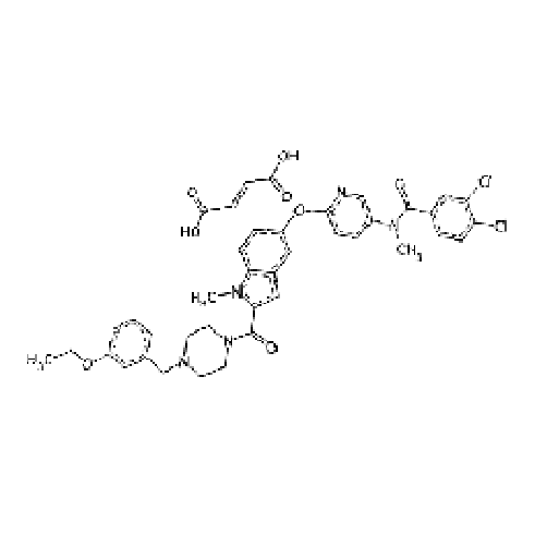 CCOc1cccc(CN2CCN(C(=O)c3cc4cc(Oc5ccc(N(C)C(=O)c6ccc(Cl)c(Cl)c6)cn5)ccc4n3C)CC2)c1.O=C(O)C=CC(=O)O